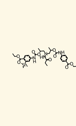 CCOC(=O)c1ccc(NC(=O)OC(C)CN(CC(C)OC(=O)Nc2ccc(C(=O)OCC)[c]([Sn]([CH3])([CH3])[CH3])c2)NC(=O)CC)cc1